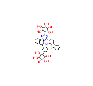 Oc1c(O)c(O)c(-c2ccc3c(c2)c2ccccc2n3-c2c(-c3nc(-c4ccccc4)nc(-c4c(O)c(O)c(O)c(O)c4O)n3)ccc3c2sc2ccccc23)c(O)c1O